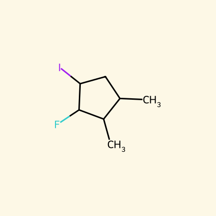 CC1CC(I)C(F)C1C